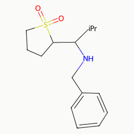 CC(C)C(NCc1ccccc1)C1CCCS1(=O)=O